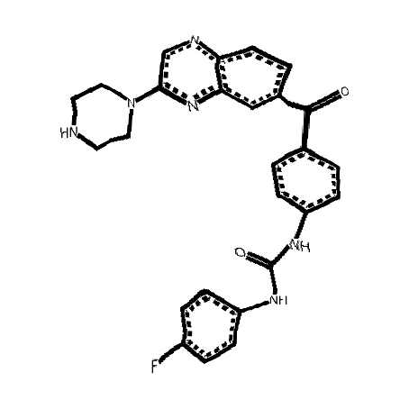 O=C(Nc1ccc(F)cc1)Nc1ccc(C(=O)c2ccc3ncc(N4CCNCC4)nc3c2)cc1